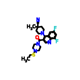 CCSN1CCN(C(=O)c2cnc3c(F)cc(F)cc3c2N2CCC(C)(C#N)CC2)CC1